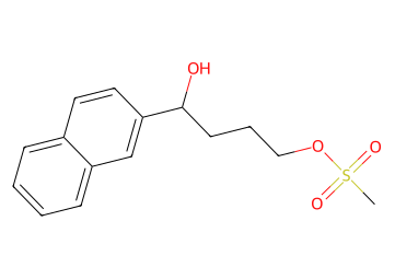 CS(=O)(=O)OCCCC(O)c1ccc2ccccc2c1